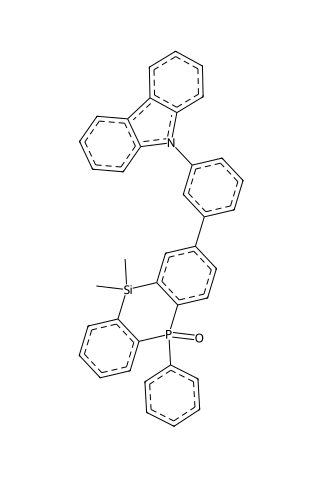 C[Si]1(C)c2ccccc2P(=O)(c2ccccc2)c2ccc(-c3cccc(-n4c5ccccc5c5ccccc54)c3)cc21